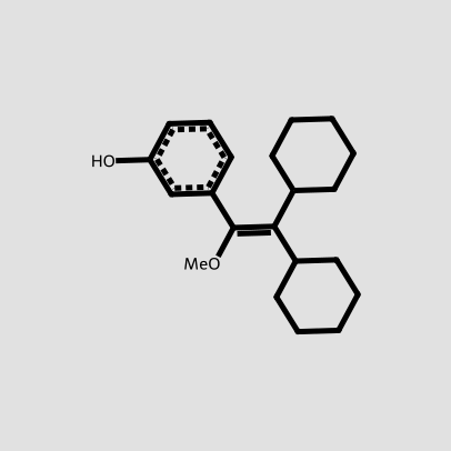 COC(=C(C1CCCCC1)C1CCCCC1)c1cccc(O)c1